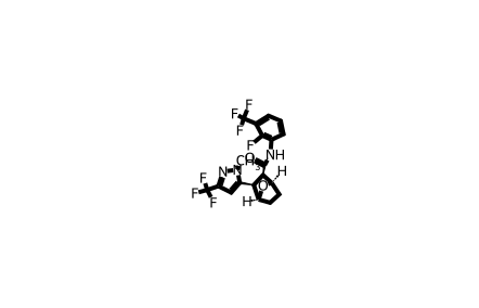 Cn1nc(C(F)(F)F)cc1[C@H]1[C@@H](C(=O)Nc2cccc(C(F)(F)F)c2F)[C@H]2CC[C@@H]1O2